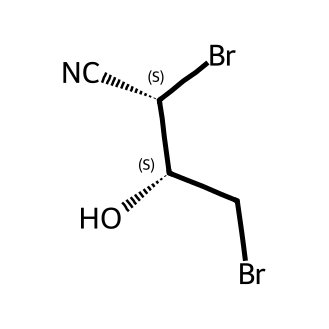 N#C[C@H](Br)[C@@H](O)CBr